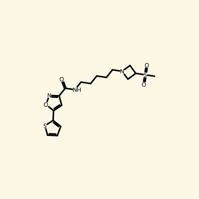 CS(=O)(=O)C1CN(CCCCCNC(=O)c2cc(-c3cccs3)on2)C1